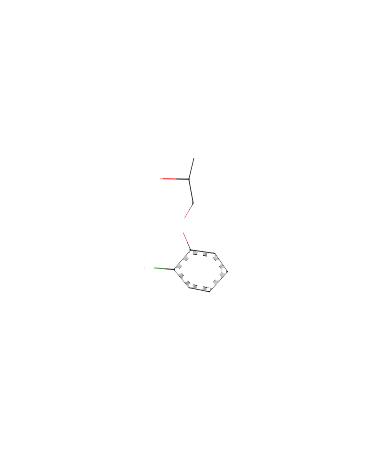 CC(O)COc1ccccc1Cl